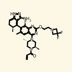 C=CC(=O)N1C[C@H](C)N(c2nc(OCCN3CC(F)(F)C3)nc3c(F)c(C4=c5c(N)n[nH]c5=CC[C@@H]4C)c(C)cc23)C[C@H]1C